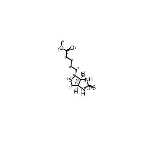 COC(=O)CCCC[C@@H]1SC[C@@H]2NC(=S)N[C@@H]21